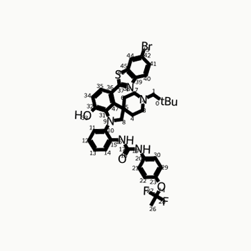 CC(C)(C)CN1CCC2(CC1)CN(c1ccccc1NC(=O)Nc1ccc(OC(C)(F)F)cc1)c1c(O)ccc(-c3nc4ccc(Br)cc4s3)c12